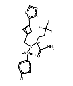 NC(=O)[C@@H](CCC(F)(F)F)N(CC12CC(c3ncon3)(C1)C2)S(=O)(=O)c1ccc(Cl)cc1